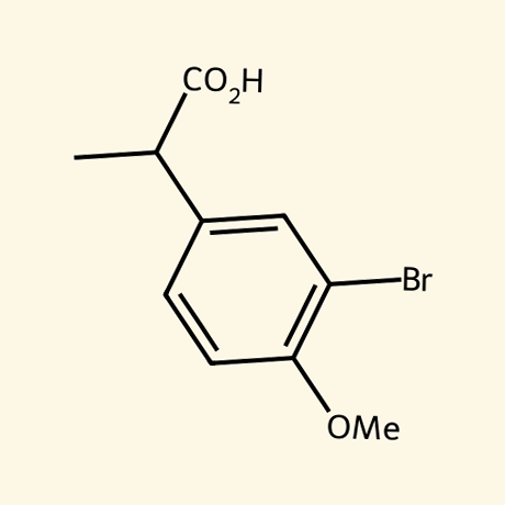 COc1ccc(C(C)C(=O)O)cc1Br